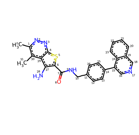 Cc1nnc2sc(C(=O)NCc3ccc(-c4cncc5ccccc45)cc3)c(N)c2c1C